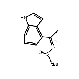 C/C(=N/[S+]([O-])C(C)(C)C)c1cccc2[nH]ccc12